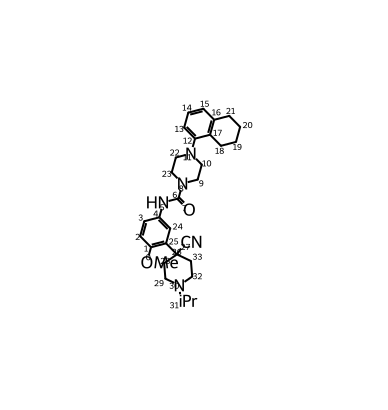 COc1ccc(NC(=O)N2CCN(c3cccc4c3CCCC4)CC2)cc1C1(C#N)CCN(C(C)C)CC1